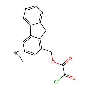 CC#N.O=C(Cl)C(=O)OCc1cccc2c1Cc1ccccc1-2